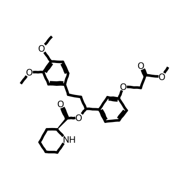 COC(=O)COc1cccc(C(CCc2ccc(OC)c(OC)c2)OC(=O)[C@@H]2CCCCN2)c1